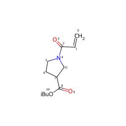 C=CC(=O)N1CCC(C(=O)OCC(C)C)C1